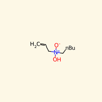 C=CC[N+]([O-])(O)CCCCC